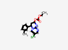 CCOC(=O)OC1CC(c2cccc(C)c2)N2C=C(Br)C=NC2=N1